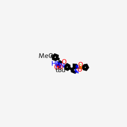 COc1ccc(C[C@@H](NC(=O)OC(C)(C)C)C(=O)Nc2ccc(-c3ccnc4c3ccn4S(=O)(=O)c3ccccc3)cc2)cc1